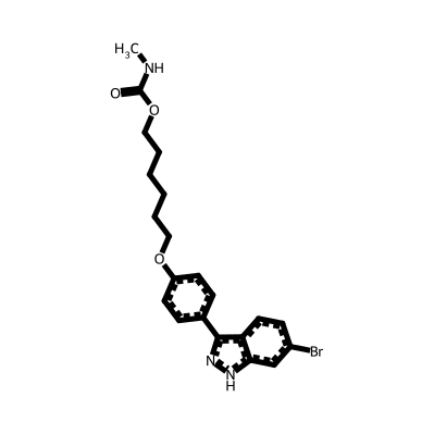 CNC(=O)OCCCCCCOc1ccc(-c2n[nH]c3cc(Br)ccc23)cc1